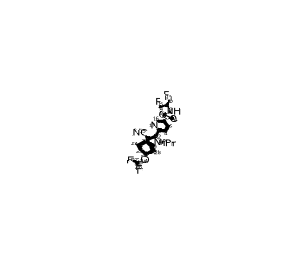 CC(C)n1c(-c2ccc(S(=O)(=O)NC(CF)CF)cn2)c(C#N)c2ccc(OC(F)F)cc21